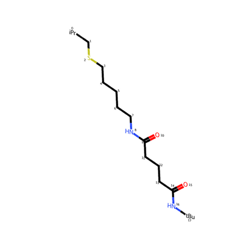 CC(C)CSCCCCCNC(=O)CCCC(=O)NC(C)(C)C